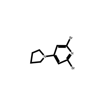 Brc1cc(N2CCCC2)cc(Br)n1